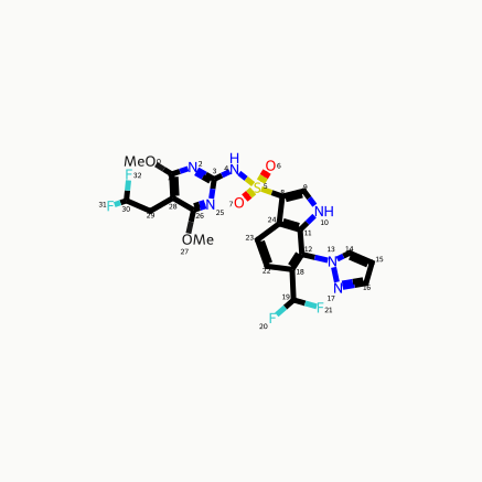 COc1nc(NS(=O)(=O)c2c[nH]c3c(-n4cccn4)c(C(F)F)ccc23)nc(OC)c1CC(F)F